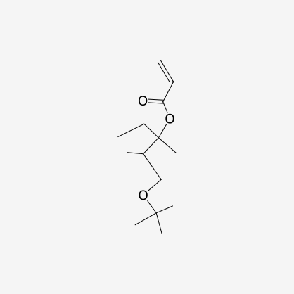 C=CC(=O)OC(C)(CC)C(C)COC(C)(C)C